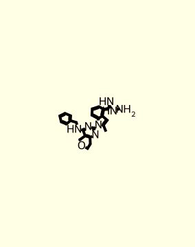 Cc1cc2c(C(=N)NN)cccc2n1-c1nc2c(c(NCc3ccccc3)n1)COCC2